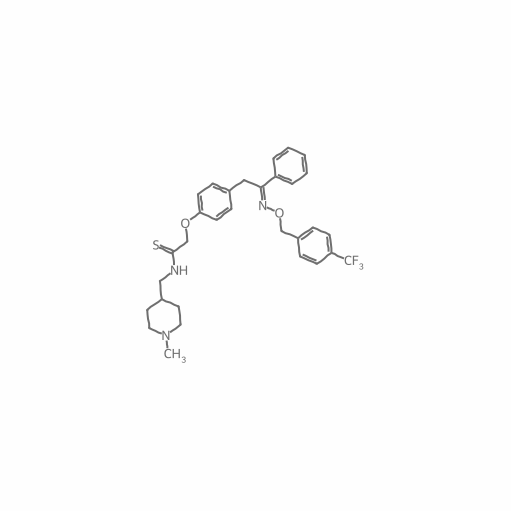 CN1CCC(CNC(=S)COc2ccc(CC(=NOCc3ccc(C(F)(F)F)cc3)c3ccccc3)cc2)CC1